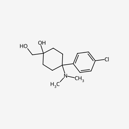 CN(C)C1(c2ccc(Cl)cc2)CCC(O)(CO)CC1